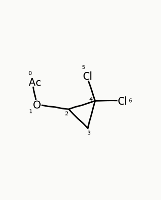 CC(=O)OC1CC1(Cl)Cl